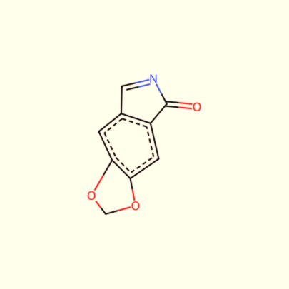 O=C1N=Cc2cc3c(cc21)OCO3